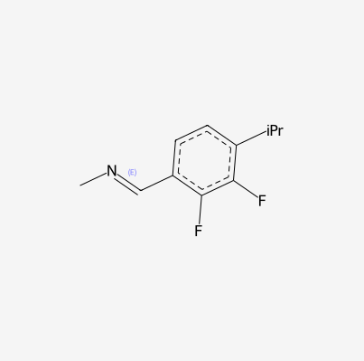 C/N=C/c1ccc(C(C)C)c(F)c1F